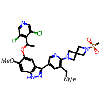 CNCc1cc(-c2n[nH]c3cc(OC)c(OC(C)c4c(Cl)cncc4Cl)cc23)cnc1N1CC2(C1)CN(S(C)(=O)=O)C2